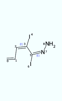 C=C/C=C(I)\C(I)=N/N